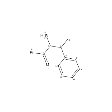 BC(C(=O)CC)C(C)c1ccccc1